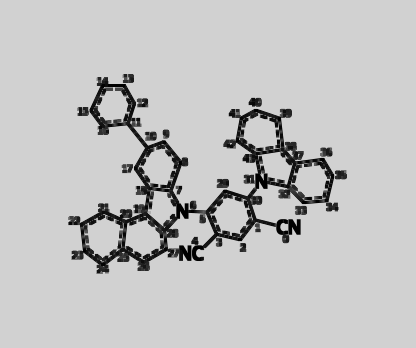 N#Cc1cc(C#N)c(-n2c3ccc(-c4ccccc4)cc3c3c4ccccc4ccc32)cc1-n1c2ccccc2c2ccccc21